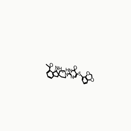 CC(=O)c1cccc2c1[C@@H](N)C1(CCN(c3ncc(Sc4cccc5c4OCO5)c(=O)[nH]3)CC1)C2